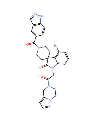 O=C(CN1C(=O)C2(CCN(C(=O)c3ccc4[nH]ncc4c3)CC2)c2c(Br)cccc21)N1CCn2cccc2C1